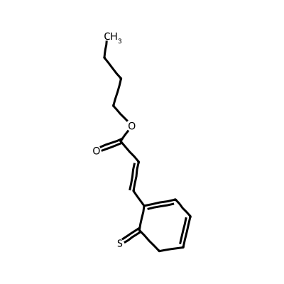 CCCCOC(=O)C=CC1=CC=CCC1=S